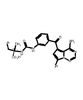 CC(C)C[C@](C)(NC(=O)Nc1cccc(C(=O)c2cc(C(C)C)n3ncnc(N)c23)c1)C(=O)O